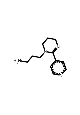 NCCCN1CCCN=C1c1ccncc1